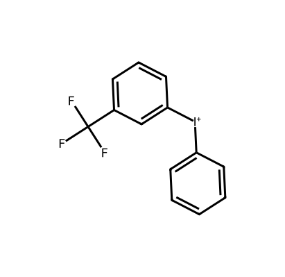 FC(F)(F)c1cccc([I+]c2ccccc2)c1